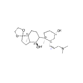 CN(C)C/C=C\[C@H]1C[C@@H](O)CC[C@]1(C)C1CC[C@@]2(C)C(CCC23OCCO3)[C@@H]1O